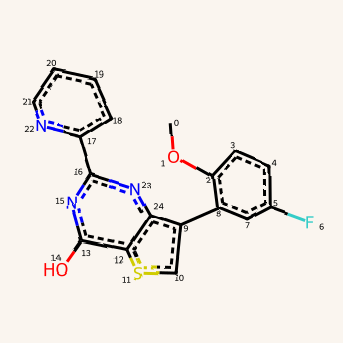 COc1ccc(F)cc1-c1csc2c(O)nc(-c3ccccn3)nc12